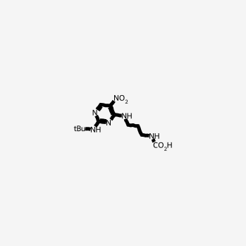 CC(C)(C)Nc1ncc([N+](=O)[O-])c(NCCCNC(=O)O)n1